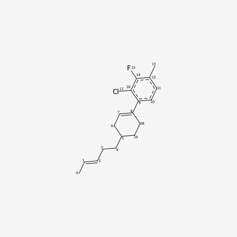 C/C=C/CCC1CC=C(c2ccc(C)c(F)c2Cl)CC1